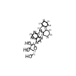 OC[C@H]1O[C@@H](n2cnc3c(N(Cc4ccccc4)C4CCCCC4)ncnc32)[C@H](O)[C@@H]1O